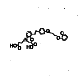 O=C(O)CCCN1CC(C(=O)O)Oc2c(/C=C/c3ccc(OCCCCOc4ccccc4Cl)cc3)cccc21